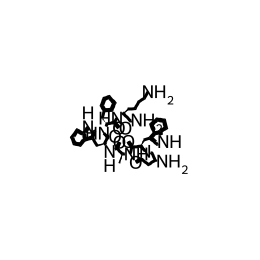 C[C@H](NC(=O)[C@@H](Cc1c[nH]c2ccccc12)N1C[C@@H](N)CC1=O)C(=O)N[C@@H](Cc1c[nH]c2ccccc12)C(=O)N[C@H](Cc1ccccc1)C(=O)N[C@@H](CCCCN)C(N)=O